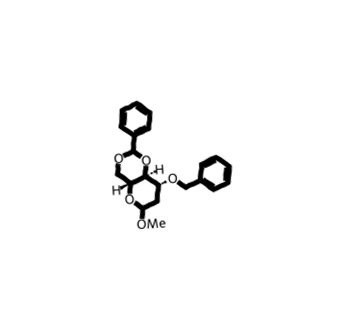 COC1C[C@@H](OCc2ccccc2)[C@@H]2OC(c3ccccc3)OC[C@H]2O1